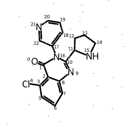 O=c1c2c(Cl)cccc2nc(C2CCCN2)n1-c1cccnc1